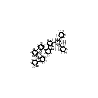 C1=CC(C2NC(c3ccccc3)=NC(c3cccc4c3oc3cccc(-c5cccc6c5oc5c(-n7c8ccccc8c8ccccc87)cccc56)c34)N2)=CCC1